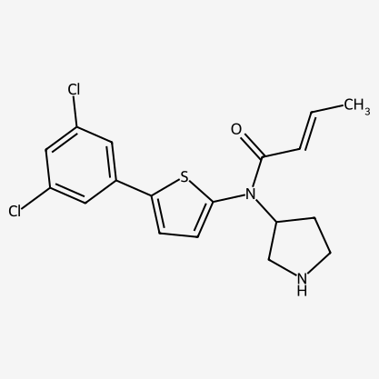 CC=CC(=O)N(c1ccc(-c2cc(Cl)cc(Cl)c2)s1)C1CCNC1